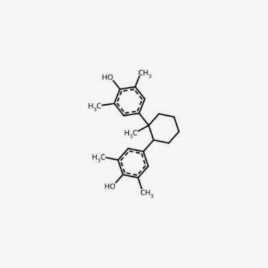 Cc1cc(C2CCCCC2(C)c2cc(C)c(O)c(C)c2)cc(C)c1O